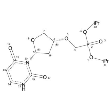 CC(C)OP(=O)(CO[C@H]1CO[C@@H](n2c(=O)cc[nH]c2=O)C1)OC(C)C